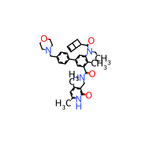 CCN(C(=O)C1CC2C=CC21)c1cc(-c2ccc(CN3CCOCC3)cc2)cc(C(=O)NCc2c(C)cc(C)[nH]c2=O)c1C